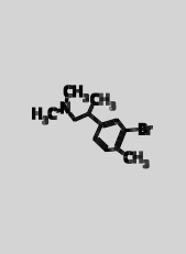 Cc1ccc(C(C)CN(C)C)cc1Br